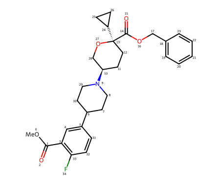 COC(=O)c1cc(C2CCN([C@@H]3CC[C@@](C(=O)OCc4ccccc4)(C4CC4)OC3)CC2)ccc1F